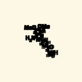 COc1cc2c(N)nc(N3CCN(C(=O)CC4CCN4)CC3)nc2c(F)c1OC